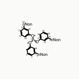 CCCCCCCCCc1cccc(OP(Oc2cccc(CCCCCCCCC)c2)Oc2cccc(CCCCCCCCC)c2)c1